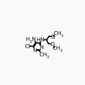 COCC(COC)Nc1nc(C)nc(Cl)c1N